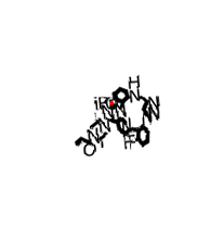 C=CC(=O)N1C[C@H](C)N(c2nc(=O)n3c4nc(c(F)cc24)-c2c(F)cccc2-n2cc(nn2)CNc2cccc(C(C)C)c2-3)C[C@H]1C